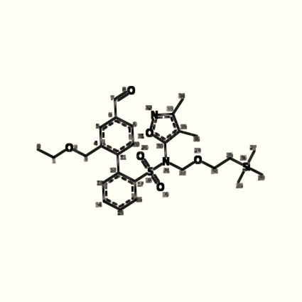 CCOCc1cc(C=O)ccc1-c1ccccc1S(=O)(=O)N(COCC[Si](C)(C)C)c1onc(C)c1C